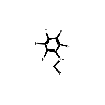 FCPc1c(F)c(F)c(F)c(F)c1F